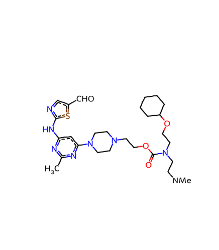 CNCCN(CCOC1CCCCC1)C(=O)OCCN1CCN(c2cc(Nc3ncc(C=O)s3)nc(C)n2)CC1